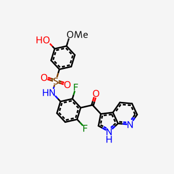 COc1ccc(S(=O)(=O)Nc2ccc(F)c(C(=O)c3c[nH]c4ncccc34)c2F)cc1O